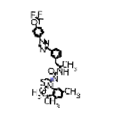 Cc1ccc(C(C)C)c(N2C(=O)SC/C2=N\C(=O)NC(C)Cc2cccc(-c3ncn(-c4ccc(OC(F)(F)F)cc4)n3)c2)c1